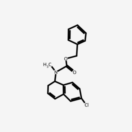 CN(C(=O)OCc1ccccc1)C1CC=Cc2cc(Cl)ccc21